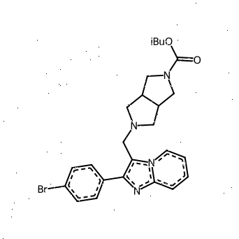 CC(C)COC(=O)N1CC2CN(Cc3c(-c4ccc(Br)cc4)nc4ccccn34)CC2C1